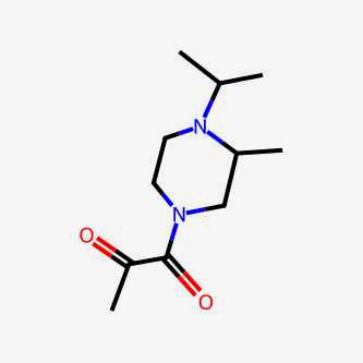 CC(=O)C(=O)N1CCN(C(C)C)C(C)C1